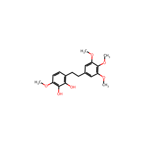 COc1ccc(CCc2cc(OC)c(OC)c(OC)c2)c(O)c1O